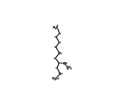 CCCCCOCC(COC)OC